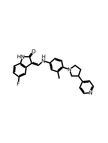 Cc1cc(NC=C2C(=O)Nc3ccc(F)cc32)ccc1N1CCC(c2ccncc2)C1